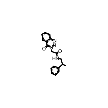 CC(CNC(=O)Cn1nnc2ccccc2c1=O)c1ccccc1